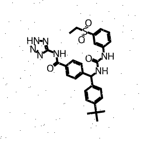 CCS(=O)(=O)c1cccc(NC(=O)NC(c2ccc(C(=O)Nc3nn[nH]n3)cc2)c2ccc(C(C)(C)C)cc2)c1